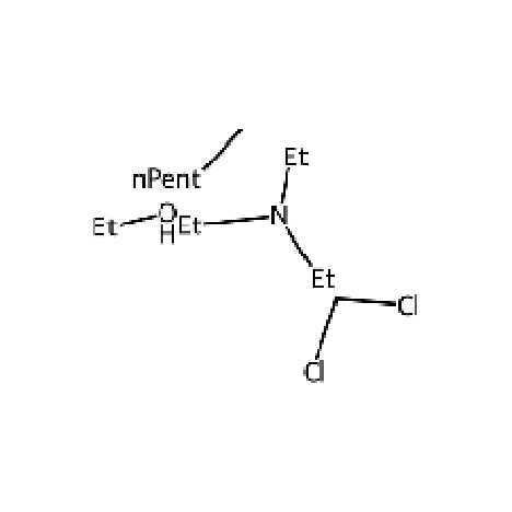 CCCCCC.CCN(CC)CC.CCO.ClCCl